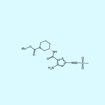 CC(C)(C)OC(=O)N1CCC[C@H](NC(=O)c2sc(C#CS(C)(=O)=O)cc2N)C1